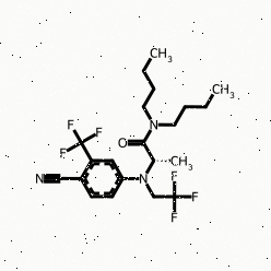 CCCCN(CCCC)C(=O)[C@H](C)N(CC(F)(F)F)c1ccc(C#N)c(C(F)(F)F)c1